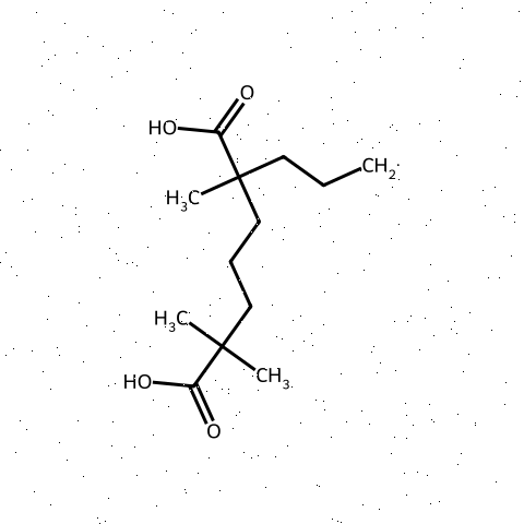 [CH2]CCC(C)(CCCC(C)(C)C(=O)O)C(=O)O